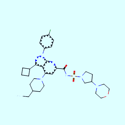 COCC1CCN(c2cc(C(=O)NS(=O)(=O)N3CCC(N4CCOCC4)C3)nc3c2c(C2CCC2)nn3-c2ccc(F)cc2)CC1